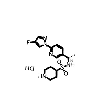 C[C@H](NS(=O)(=O)C1CCNCC1)c1ccc(-n2cc(F)cn2)nc1.Cl